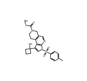 Cc1ccc(S(=O)(=O)n2cc(C3(O)CCC3)c3c4c(cnc32)CN(C(=O)OC(C)(C)C)CC4)cc1